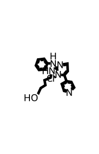 OCCCCCNC1(Nc2ccccc2)N=CC=C(c2ccncc2)N1Cl